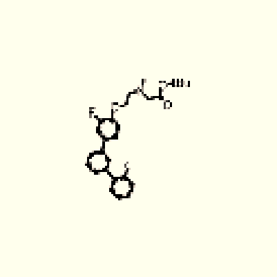 CN(CCOc1ccc(-c2cccc(-c3ccccc3Cl)c2)cc1F)CC(=O)OC(C)(C)C